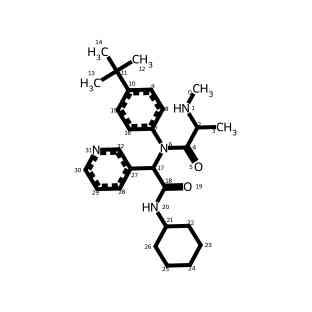 CNC(C)C(=O)N(c1ccc(C(C)(C)C)cc1)C(C(=O)NC1CCCCC1)c1cccnc1